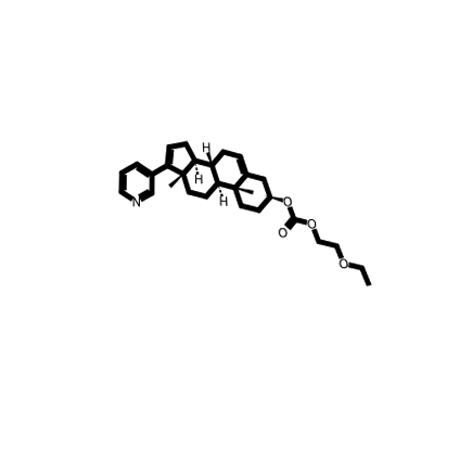 CCOCCOC(=O)O[C@H]1CC[C@@]2(C)C(=CC[C@@H]3[C@@H]2CC[C@]2(C)C(c4cccnc4)=CC[C@@H]32)C1